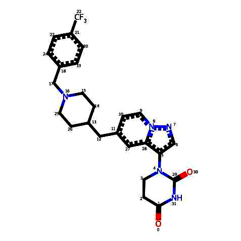 O=C1CCN(c2cnn3ccc(CC4CCN(Cc5ccc(C(F)(F)F)cc5)CC4)cc23)C(=O)N1